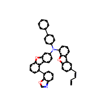 C=C/C=C\c1ccc2oc3c(N(c4ccc(-c5ccccc5)cc4)c4ccc5c(c4)oc4cccc(-c6cccc7ncoc67)c45)cccc3c2c1